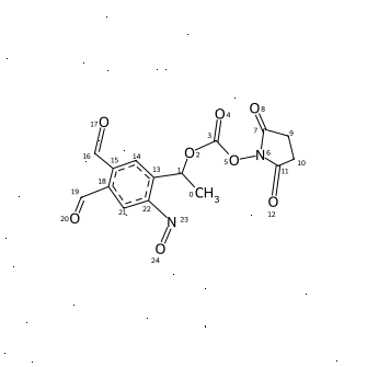 CC(OC(=O)ON1C(=O)CCC1=O)c1cc(C=O)c(C=O)cc1N=O